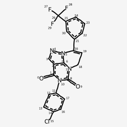 O=c1c2cnn3c2n(c(=O)n1-c1ccc(Cl)cc1)CC=C3c1cccc(C(F)(F)F)c1